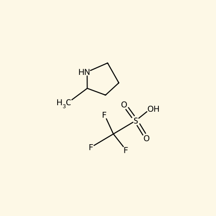 CC1CCCN1.O=S(=O)(O)C(F)(F)F